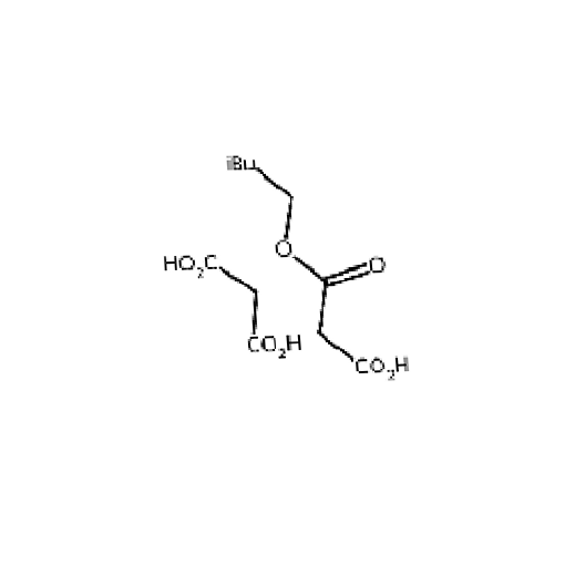 CCC(C)COC(=O)CC(=O)O.O=C(O)CC(=O)O